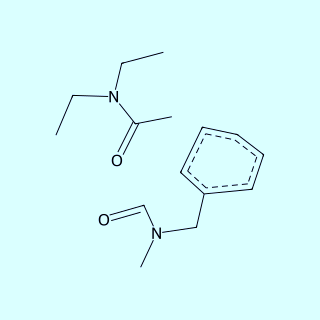 CCN(CC)C(C)=O.CN(C=O)Cc1ccccc1